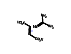 N=C(N)N.O=C(O)/C=C/C(=O)O